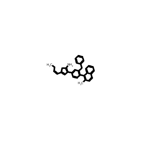 CC/C=C\C1=CC(c2ccc(-c3c(C)ccc4ccccc34)c(Cc3ccccc3)c2)=C(N)C1